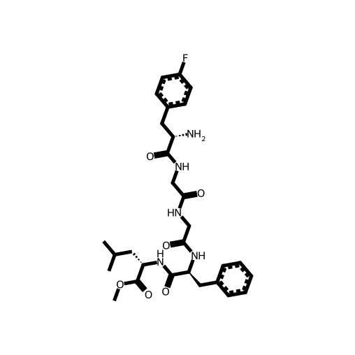 COC(=O)[C@H](CC(C)C)NC(=O)[C@H](Cc1ccccc1)NC(=O)CNC(=O)CNC(=O)[C@@H](N)Cc1ccc(F)cc1